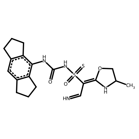 CC1CO/C(=C(/C=N)S(=O)(=S)NC(=O)Nc2c3c(cc4c2CCC4)CCC3)N1